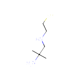 CC(C)(N)CNCCS